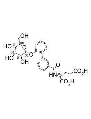 O=C(O)CC[C@H](NC(=O)c1cccc(-c2ccccc2O[C@H]2O[C@H](CO)[C@@H](O)[C@H](O)[C@@H]2O)c1)C(=O)O